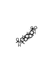 CONC(=O)[C@@]1(C)CC[C@]2(C)CC[C@]3(C)C(=CC[C@@H]4[C@@]5(C)CC[C@H](NC(C)=O)C(C)(C)C5CC[C@]43C)[C@@H]2C1